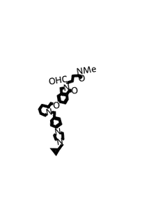 CNC(=O)CCC(C=O)N1Cc2cc(OCC3CCCCN3Cc3ccc(N4CCN(CC5CC5)CC4)cc3)ccc2C1=O